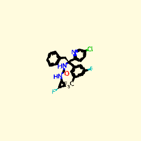 O=C(NC1C[C@H]1F)N[C@@](Cc1ccccc1)(c1cc(F)cc(C(F)(F)F)c1)c1ccc(Cl)cn1